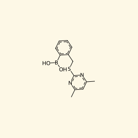 Cc1cc(C)nc(SCc2ccccc2B(O)O)n1